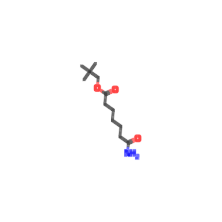 CC(C)(C)COC(=O)CCCCCC(N)=O